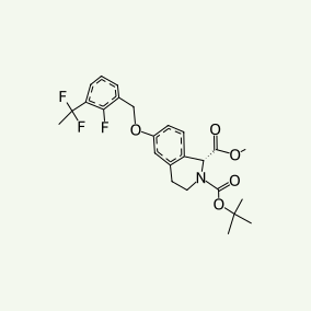 COC(=O)[C@H]1c2ccc(OCc3cccc(C(C)(F)F)c3F)cc2CCN1C(=O)OC(C)(C)C